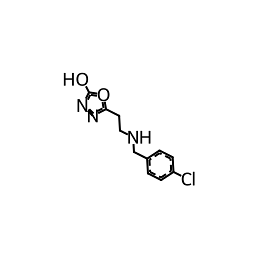 Oc1nnc(CCNCc2ccc(Cl)cc2)o1